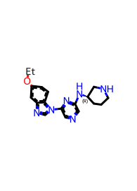 CCOc1ccc2c(c1)ncn2-c1cncc(N[C@@H]2CCCNC2)n1